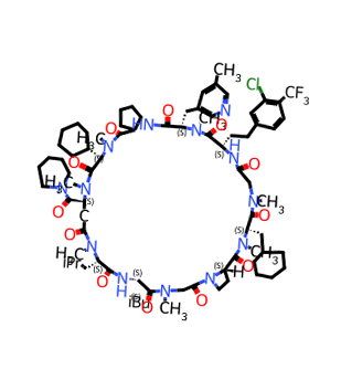 CC[C@H](C)[C@@H]1NC(=O)[C@H](CC(C)C)N(C)C(=O)C[C@@H](C(=O)N2CCCCC2)N(C)C(=O)[C@H](C2CCCCC2)N(C)C(=O)C2(CCCC2)NC(=O)[C@H](Cc2cncc(C)c2)N(C)C(=O)[C@H](CCc2ccc(C(F)(F)F)c(Cl)c2)NC(=O)CN(C)C(=O)[C@H](CC2CCCCC2)N(C)C(=O)[C@@H]2CCN2C(=O)CN(C)C1=O